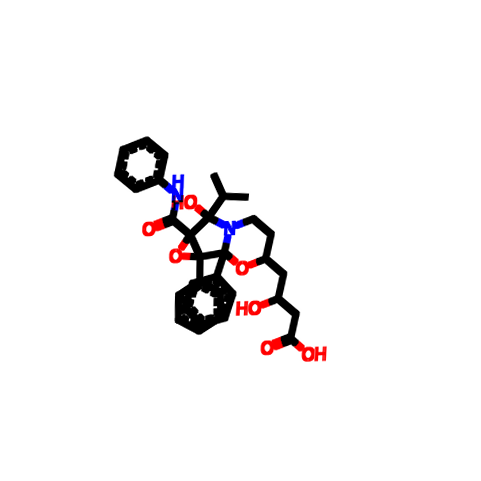 CC(C)C1(O)N2CCC(CC(O)CC(=O)O)OC2(c2ccccc2)C2(c3ccccc3)OC12C(=O)Nc1ccccc1